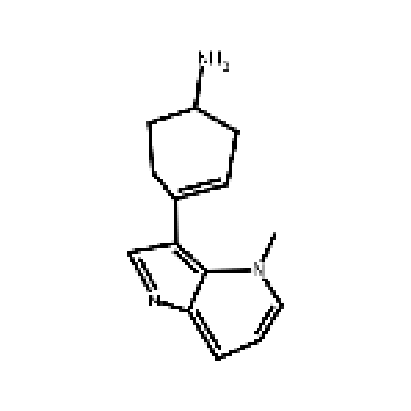 Cn1cccc2ncc(C3=CCC(N)CC3)c1-2